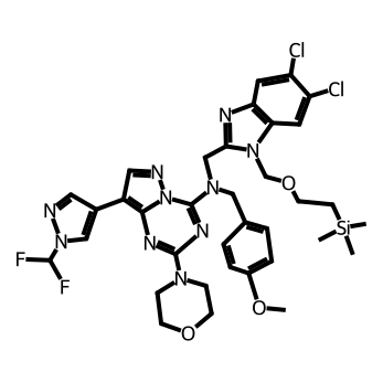 COc1ccc(CN(Cc2nc3cc(Cl)c(Cl)cc3n2COCC[Si](C)(C)C)c2nc(N3CCOCC3)nc3c(-c4cnn(C(F)F)c4)cnn23)cc1